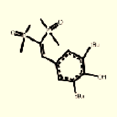 CC(C)(C)c1cc(C=C(P(C)(C)=O)P(C)(C)=O)cc(C(C)(C)C)c1O